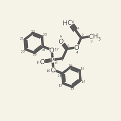 C#CC(C)OC(=O)CP(=O)(Oc1ccccc1)Oc1ccccc1